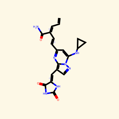 C=C/C=C(\C=C\c1cc(NC2CC2)n2ncc(/C=C3\NC(=O)NC3=O)c2n1)C(N)=O